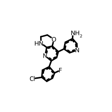 Nc1cncc(-c2cc(-c3cc(Cl)ccc3F)nc3c2OCCN3)c1